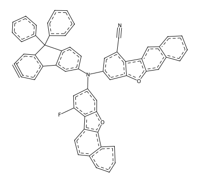 N#Cc1cc(N(c2ccc3c(c2)-c2cc#ccc2C3(c2ccccc2)c2ccccc2)c2cc(F)c3c(c2)oc2c4ccccc4ccc23)cc2oc3cc4ccccc4cc3c12